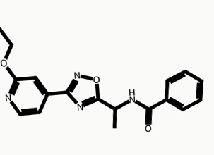 CCOc1cc(-c2noc(C(C)NC(=O)c3ccccc3)n2)ccn1